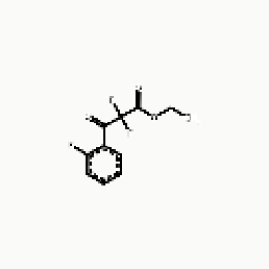 CCOC(=O)C(F)(F)C(=O)c1ccccc1F